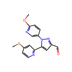 COc1ccc(-n2nc(C=O)cc2-c2cc(SC)ccn2)cn1